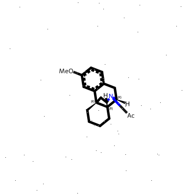 COc1ccc2c(c1)[C@@]13CCCC[C@H]1[C@@H](C2)N(C(C)=O)CC3